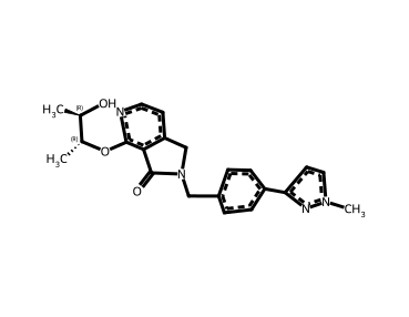 C[C@@H](O)[C@@H](C)Oc1nccc2c1C(=O)N(Cc1ccc(-c3ccn(C)n3)cc1)C2